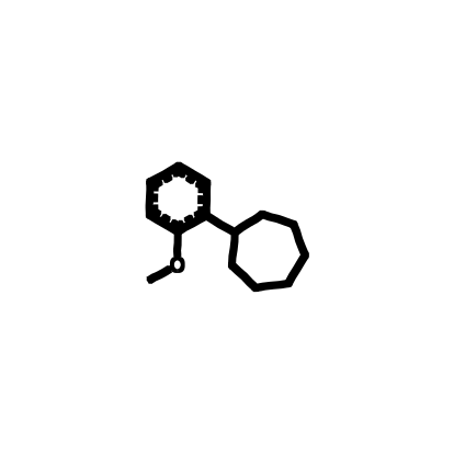 COc1ccccc1C1CCCCCC1